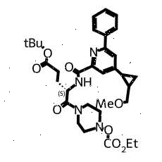 CCOC(=O)ON1CCN(C(=O)[C@H](CCC(=O)OC(C)(C)C)NC(=O)c2cc(C3CC3COC)cc(-c3ccccc3)n2)CC1